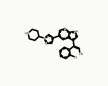 N#C/C=C(\c1ccccc1Cl)c1c[nH]c2ncc(-c3cnn(C4CCNCC4)c3)cc12